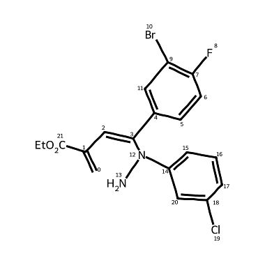 C=C(/C=C(/c1ccc(F)c(Br)c1)N(N)c1cccc(Cl)c1)C(=O)OCC